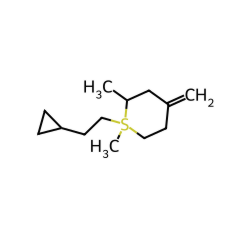 C=C1CCS(C)(CCC2CC2)C(C)C1